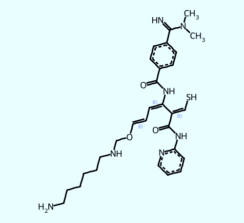 CN(C)C(=N)c1ccc(C(=O)NC(=C/C=C/OCNCCCCCCN)/C(=C\S)C(=O)Nc2ccccn2)cc1